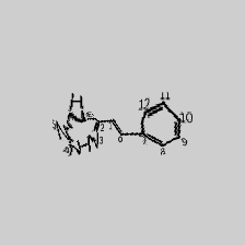 C(=Cc1nnn[nH]1)c1ccccc1